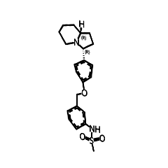 CS(=O)(=O)Nc1cccc(COc2ccc([C@H]3CC[C@H]4CCCCN43)cc2)c1